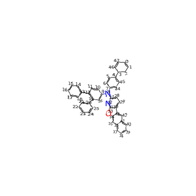 C1=CCC(c2ccc(N(c3ccc(-c4ccccc4)c(-c4ccccc4)c3)c3ccc4c(n3)oc3cc5ccccc5cc34)cc2)C=C1